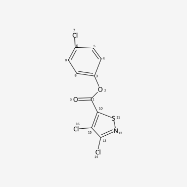 O=C(Oc1ccc(Cl)cc1)c1snc(Cl)c1Cl